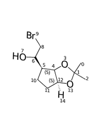 CC1(C)OC2[C@H](C(O)CBr)CC[C@@H]2O1